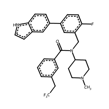 CN1CCC(N(Cc2cc(-c3ccc4[nH]ccc4c3)ccc2F)C(=O)c2cccc(CC(F)(F)F)c2)CC1